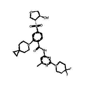 Cc1cc(NC(=O)c2ccc(S(=O)(=O)[C@@H]3COC[C@H]3O)cc2N2CCC3(CC2)CC3)nc(N2CCC(F)(F)CC2)n1